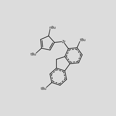 CCCCC1C=C(C(C)(C)C)C=[C]1[Zr][c]1c(C(C)(C)C)ccc2c1Cc1cc(C(C)(C)C)ccc1-2